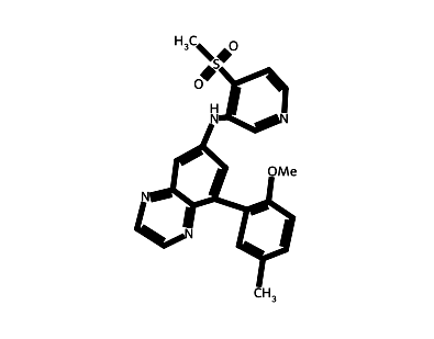 COc1ccc(C)cc1-c1cc(Nc2cnccc2S(C)(=O)=O)cc2nccnc12